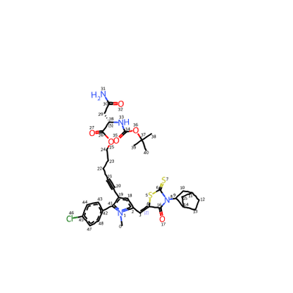 Cn1c(/C=C2\SC(=S)N(C3CC4CCC3C4)C2=O)cc(C#CCCCOC(=O)[C@H](CC(N)=O)NC(=O)OC(C)(C)C)c1-c1ccc(Cl)cc1